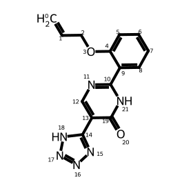 C=CCOc1ccccc1-c1ncc(-c2nnn[nH]2)c(=O)[nH]1